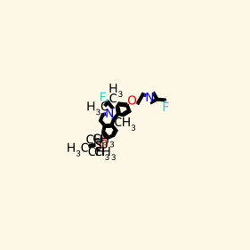 CC(C)(F)CN1CCc2cc(O[Si](C)(C)C(C)(C)C)ccc2C1(C)c1ccc(OCCN2CC(CF)C2)cc1